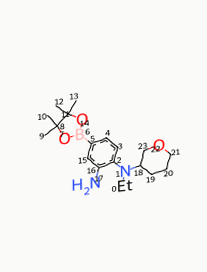 CCN(c1ccc(B2OC(C)(C)C(C)(C)O2)cc1N)C1CCCOC1